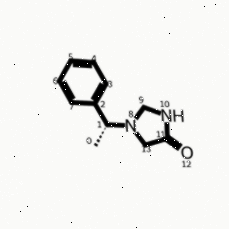 C[C@H](c1ccccc1)N1CNC(=O)C1